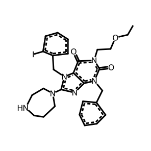 CCOCCn1c(=O)c2c(nc(N3CCCNCC3)n2Cc2ccccc2I)n(Cc2ccccc2)c1=O